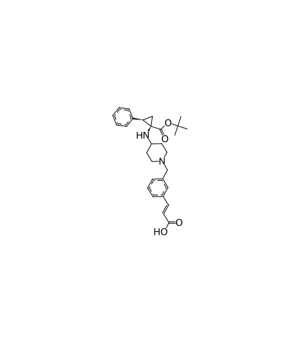 CC(C)(C)OC(=O)[C@@]1(NC2CCN(Cc3cccc(C=CC(=O)O)c3)CC2)C[C@@H]1c1ccccc1